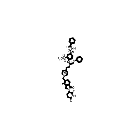 O=C1CCC(N2Cc3c(ccc(CN4CC5CCC4CN5CC[C@H](CSc4ccccc4)Nc4ccc(S(=O)(=O)NC(=O)c5ccccc5)cc4S(=O)(=O)C(F)(F)F)c3F)C2=O)C(=O)N1